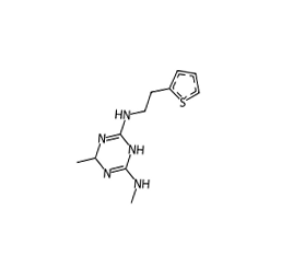 CNC1=NC(C)N=C(NCCc2cccs2)N1